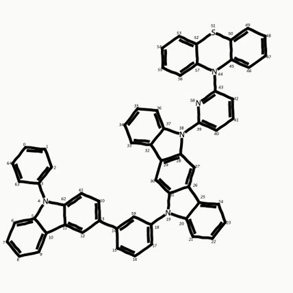 c1ccc(-n2c3ccccc3c3cc(-c4cccc(-n5c6ccccc6c6cc7c(cc65)c5ccccc5n7-c5cccc(N6c7ccccc7Sc7ccccc76)n5)c4)ccc32)cc1